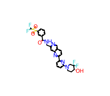 O=C(NCc1cc2nc(-c3cccc(N4CC[C@@H](O)C(F)(F)C4)n3)ccc2cn1)c1cccc(S(=O)(=O)C(F)F)c1